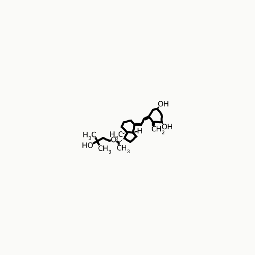 C=C1C(=CC=C2CCC[C@]3(C)[C@@H](C(C)OCCC(C)(C)O)CC[C@@H]23)C[C@@H](O)C[C@@H]1O